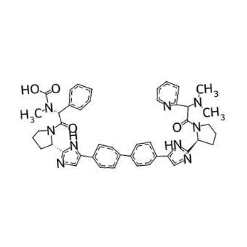 CN(C)C(C(=O)N1CCC[C@H]1c1ncc(-c2ccc(-c3ccc(-c4cnc([C@@H]5CCCN5C(=O)[C@@H](c5ccccc5)N(C)C(=O)O)[nH]4)cc3)cc2)[nH]1)c1ccccn1